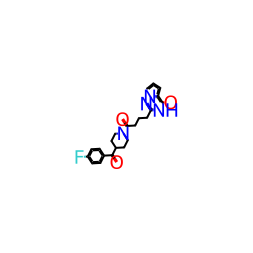 O=C(c1ccc(F)cc1)C1CCN(C(=O)CCCc2nn3cccc3c(=O)[nH]2)CC1